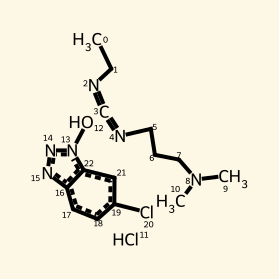 CCN=C=NCCCN(C)C.Cl.On1nnc2ccc(Cl)cc21